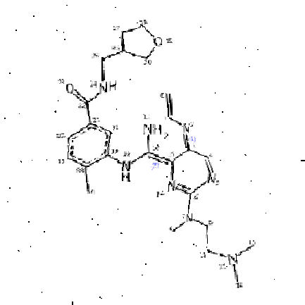 C=C/N=C1/C=NC(N(C)CCN(C)C)=N/C1=C(/N)Nc1cc(C(=O)NCC2CCOC2)ccc1C